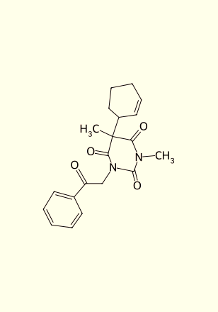 CN1C(=O)N(CC(=O)c2ccccc2)C(=O)C(C)(C2C=CCCC2)C1=O